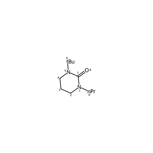 CCCN1CCCN(C(C)(C)C)C1=O